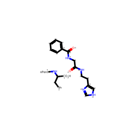 CCCCCNC(CC(C)C)C(=O)O.O=C(CNC(=O)c1ccccc1)NCCc1c[nH]cn1